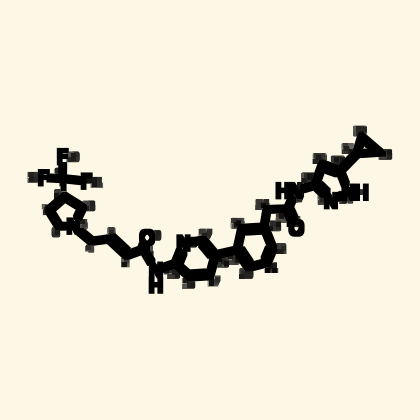 O=C(/C=C/CN1CC[C@H](C(F)(F)F)C1)Nc1ccc(-c2cccc(CC(=O)Nc3cc(C4CC4)[nH]n3)c2)cn1